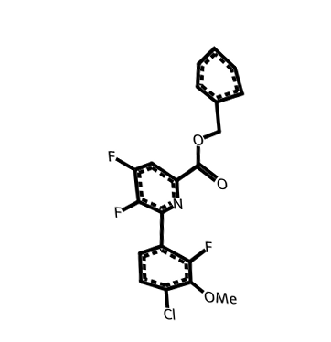 COc1c(Cl)ccc(-c2nc(C(=O)OCc3ccccc3)cc(F)c2F)c1F